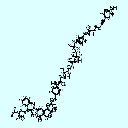 CC(C)N(CCc1c2c(nc3ccccc13)/C(=C/C1=C(C=O)COC(=O)C1OC(=O)OCc1ccc(NC(=O)CNC(=O)COCC(=O)NC(C)(C)COC(C)(C)Cn3cc(CNC(=O)CCCC#Cc4cnc(S)nc4)nn3)cc1)N(C)C2)[S+](C)[O-]